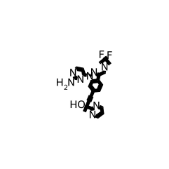 CC(O)(C#Cc1ccc2c(CN3CC(F)(F)C3)nn(-c3ccnc(N)n3)c2c1)c1ncccn1